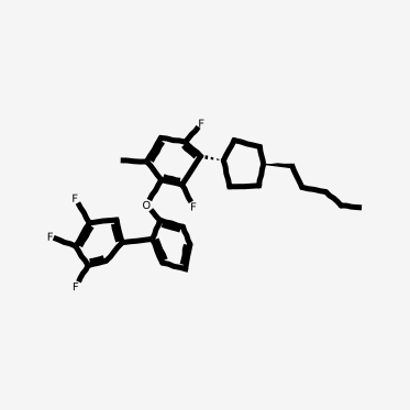 CCCCC[C@H]1CC[C@H](c2c(F)cc(C)c(Oc3ccccc3-c3cc(F)c(F)c(F)c3)c2F)CC1